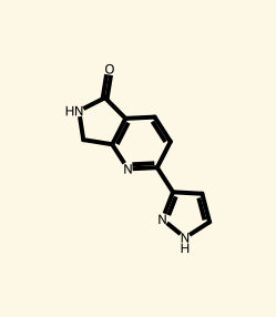 O=C1NCc2nc(-c3cc[nH]n3)ccc21